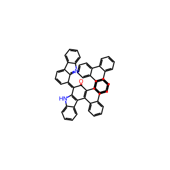 O=C1C(c2ccccc2-c2ccccc2-c2ccccc2-c2ccccc2)=C(c2ccccc2-c2ccccc2)c2c([nH]c3ccccc23)C1=c1cccc2c1=Nc1ccccc1-2